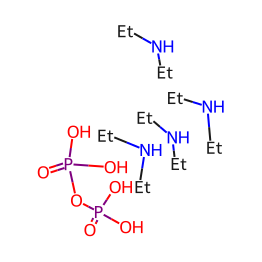 CCNCC.CCNCC.CCNCC.CCNCC.O=P(O)(O)OP(=O)(O)O